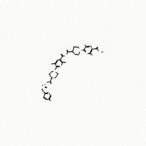 Cc1nc(N2CCC(C(=O)NS(=O)(=O)Cc3ccc(C(F)(F)F)cc3)CC2)c(C#N)cc1C(=O)OC(=O)C1CCN(c2nc(C)c(C(=O)OC(C)C)cc2C#N)CC1